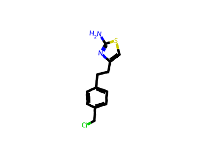 Nc1nc(CCc2ccc(CCl)cc2)cs1